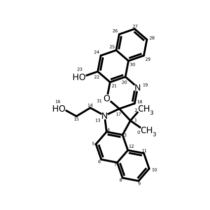 CC1(C)c2c(ccc3ccccc23)N(CCO)C12C=Nc1c(c(O)cc3ccccc13)O2